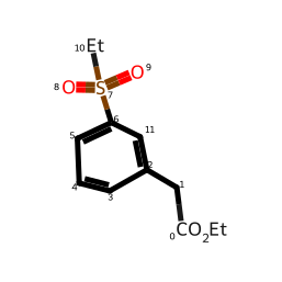 CCOC(=O)Cc1cccc(S(=O)(=O)CC)c1